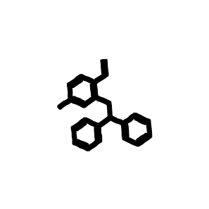 C=Cc1ccc(C)cc1CC(c1ccccc1)c1ccccc1